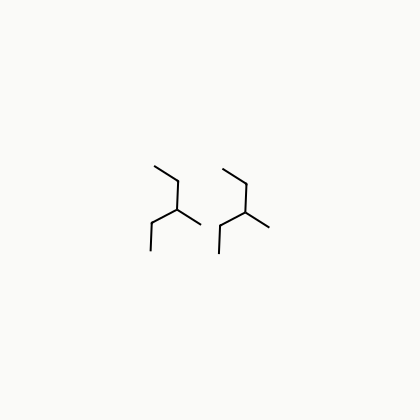 CCC(C)CC.CCC(C)CC